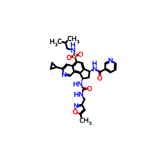 Cc1cc(CNC(=O)N[C@H]2C[C@H](NC(=O)c3cccnc3)c3cc(S(=O)(=O)NCC(C)C)c4cc(C5CC5)ncc4c32)no1